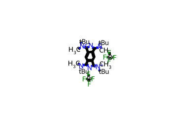 CN(c1n/c(=[N+](/C)C(C)(C)C)c2cc3c(N(C)C(C)(C)C)n/c(=[N+](/C)C(C)(C)C)c3cc12)C(C)(C)C.F[B-](F)(F)F.F[B-](F)(F)F